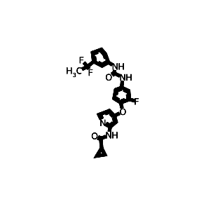 CC(F)(F)c1cccc(NC(=O)Nc2ccc(Oc3ccnc(NC(=O)C4CC4)c3)c(F)c2)c1